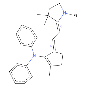 CCN1CCC(C)(C)/C1=C\C=C1/CCC(C)=C1N(c1ccccc1)c1ccccc1